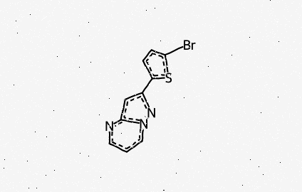 Brc1ccc(-c2cc3ncccn3n2)s1